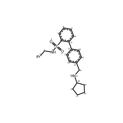 CC(C)CNS(=O)(=O)c1ccccc1-c1ccc(CNC2CCCC2)cc1